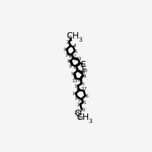 CCCC1CCC(c2ccc(-c3ccc(CCC4CCC(CCCOC)CC4)cc3F)c(F)c2)CC1